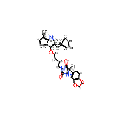 CCC1(c2ccc3c(c2)OCO3)NC(=O)N(CCCCOc2c(Cc3ccccc3)cnc3c(C(F)(F)F)cccc23)C1=O